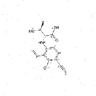 C=Cc1c(N[C@@H](C(=O)O)[C@H](C)O)ccc(C#N)c1Cl